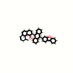 CC1CC=Cc2ccc3ccc(-c4c5ccccc5c(-c5ccc6c(c5)oc5ccccc56)c5ccccc45)c(O)c3c21